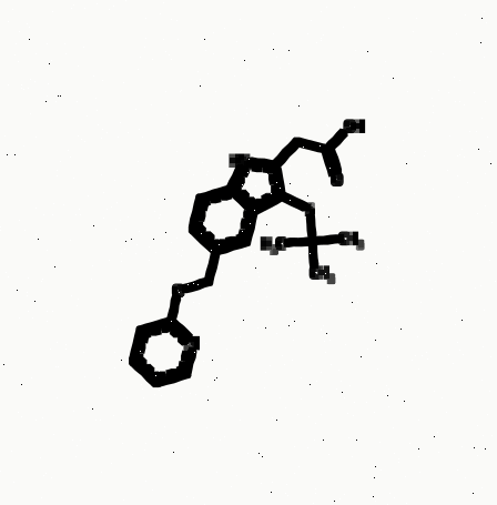 CC(C)(C)Sc1c(CC(=O)O)[nH]c2ccc(COc3ccccn3)cc12